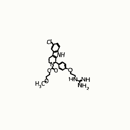 COCCOC(=O)N1CCc2c([nH]c3ccc(Cl)cc23)C1c1ccc(OCCNC(=N)N)cc1